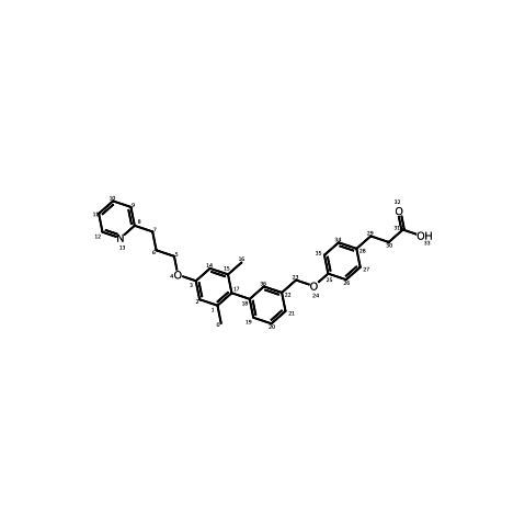 Cc1cc(OCCCc2ccccn2)cc(C)c1-c1cccc(COc2ccc(CCC(=O)O)cc2)c1